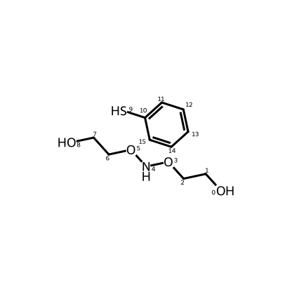 OCCONOCCO.Sc1ccccc1